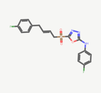 O=S(=O)(CC=CCc1ccc(F)cc1)c1nnc(Nc2ccc(F)cc2)o1